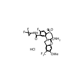 COc1ccc(CN2C(=O)[C@@H](N)CS(=O)(=O)c3cc(F)c(C(=O)NC4CC4(F)F)cc32)cc1C(F)(F)F.Cl